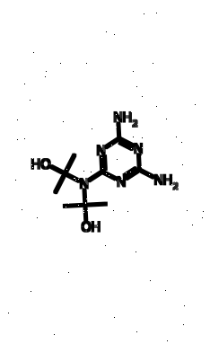 CC(C)(O)N(c1nc(N)nc(N)n1)C(C)(C)O